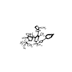 Cc1nc(N[C@H](C)C2CC(c3ccccc3)C2)nc(N[C@@H]2C[C@H](C(C)(C)O)[C@@H](O)[C@H]2O)c1-c1nc2c(C)nccc2s1